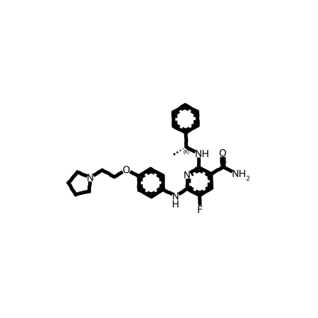 C[C@@H](Nc1nc(Nc2ccc(OCCN3CCCC3)cc2)c(F)cc1C(N)=O)c1ccccc1